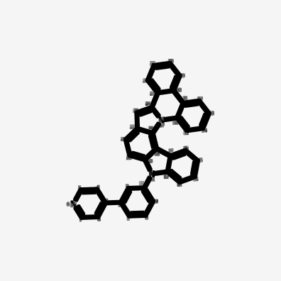 c1cc(-c2ccncc2)cc(-n2c3ccccc3c3c2ccc2cc4c5ccccc5c5ccccc5n4c23)c1